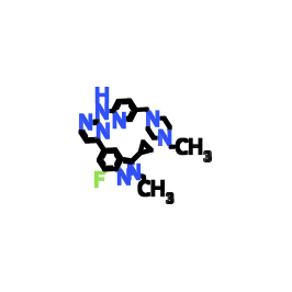 CCN1CCN(Cc2ccc(Nc3nccc(-c4cc(F)c5nn(CC)c(C6CC6)c5c4)n3)nc2)CC1